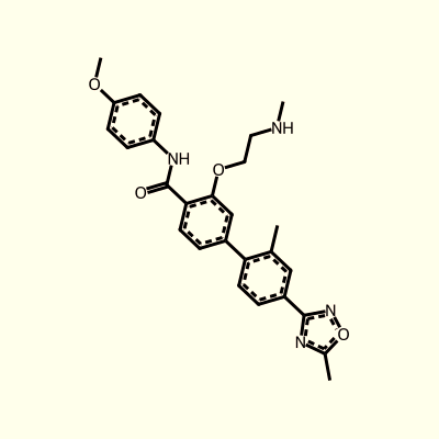 CNCCOc1cc(-c2ccc(-c3noc(C)n3)cc2C)ccc1C(=O)Nc1ccc(OC)cc1